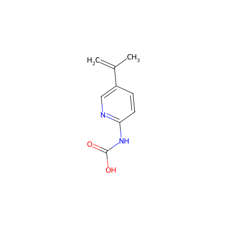 C=C(C)c1ccc(NC(=O)O)nc1